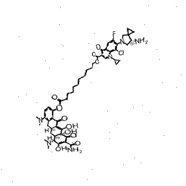 CN(C)c1ccc(OC(=O)CCCCCCCCCCOC(=O)c2cn(C3CC3)c3c(Cl)c(N4C[C@@H](N)C5(CC5)C4)c(F)cc3c2=O)c2c1C[C@@H]1C[C@@H]3[C@@H](N(C)C)C(O)=C(C(N)=O)C(=O)[C@]3(O)C(O)=C1C2=O